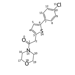 O=C(Cc1ccc(-c2ccc(Cl)cc2)s1)N1CCOCC1